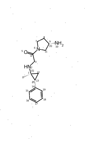 C[C@]1(NCC(=O)N2CC[C@H](N)C2)C[C@@H]1c1ccccc1